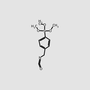 CO[Si](OC)(OC)c1ccc(CN=C=O)cc1